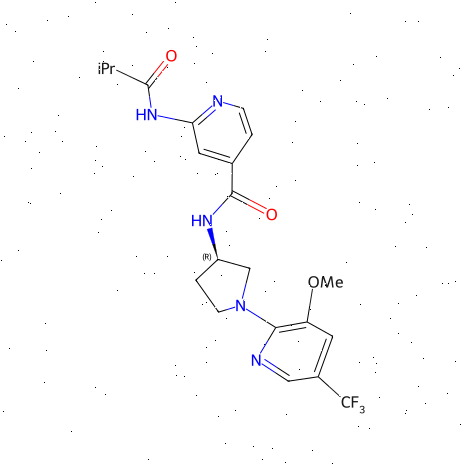 COc1cc(C(F)(F)F)cnc1N1CC[C@@H](NC(=O)c2ccnc(NC(=O)C(C)C)c2)C1